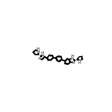 c1cc(-c2ccc3nc([C@@H]4CCCN4)[nH]c3c2)ccc1-c1ccc(-c2cnc([C@@H]3CCCN3)[nH]2)cc1